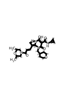 CC1CN(C(=O)C=Cc2cnn3c(O)c(C(=O)NC4CC4)c(=O)n(CC4CCOCC4)c23)CC(C)O1